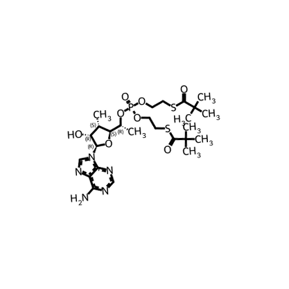 C[C@H]1[C@@H](O)[C@H](n2cnc3c(N)ncnc32)O[C@@H]1[C@@H](C)OP(=O)(OCCSC(=O)C(C)(C)C)OCCSC(=O)C(C)(C)C